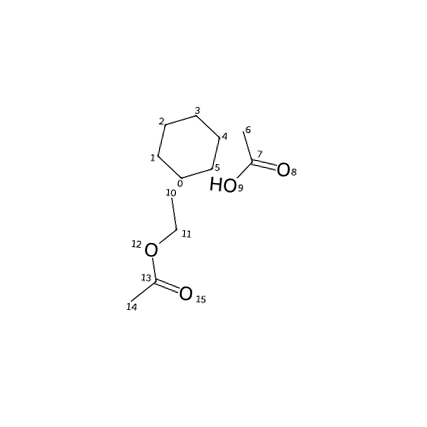 C1CCCCC1.CC(=O)O.CCOC(C)=O